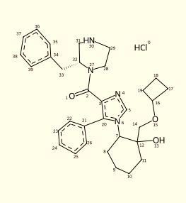 Cl.O=C(c1ncn(C2CCCCC2(O)COC2CCC2)c1-c1ccccc1)N1CCNC[C@H]1Cc1ccccc1